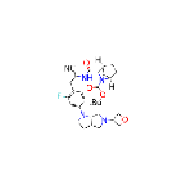 CC(C)(C)OC(=O)N1[C@@H]2CC[C@@H](C2)[C@H]1C(=O)N[C@H](C#N)Cc1ccc(N2CCC3CN(C4COC4)CC32)cc1F